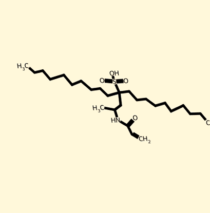 C=CC(=O)NC(C)CC(CCCCCCCCCC)(CCCCCCCCCC)S(=O)(=O)O